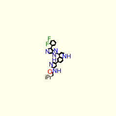 CC(C)CC(=O)Nc1cncc(-c2ccc3c(c2)C(c2nc4c(-c5cccc(F)c5F)cncc4[nH]2)=C=CN3)c1